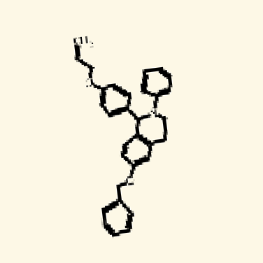 C=CCOc1ccc(C2c3ccc(OCc4ccccc4)cc3CCN2c2ccccc2)cc1